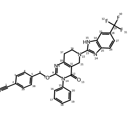 N#Cc1ccc(COc2nc3c(c(=O)n2-c2ccccc2)CN(c2nc4ccc(C(F)(F)F)cc4[nH]2)CC3)cc1